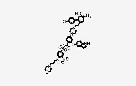 CC1(C)CCC(CCN2CCN(c3ccc(C(=O)NS(=O)(=O)c4ccc(NCCCN5CCOCC5)c([N+](=O)[O-])c4)c(Oc4ccc5[nH]ccc5c4)c3)CC2)=C(c2ccc(Cl)cc2)C1